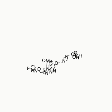 COc1cc2c(Nc3ncc(CC(=O)Nc4cccc(F)c4)s3)ncnc2cc1OCCCN1CCN(CCOP(=O)(O)O)CC1